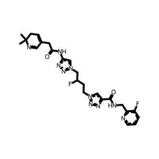 CC1(C)CC=C(CC(=O)Nc2cn(CC(F)CCn3cc(C(=O)NCc4ncccc4F)nn3)nn2)C=N1